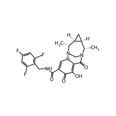 C[C@@H]1[C@H]2C[C@H]2[C@H](C)N2CN1n1cc(C(=O)NCc3c(F)cc(F)cc3F)c(=O)c(O)c1C2=O